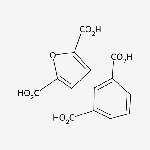 O=C(O)c1ccc(C(=O)O)o1.O=C(O)c1cccc(C(=O)O)c1